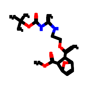 C=C(NCCOC(=C)C1C2C=CC(O2)C1C(=O)OC)NC(=O)OC(C)(C)C